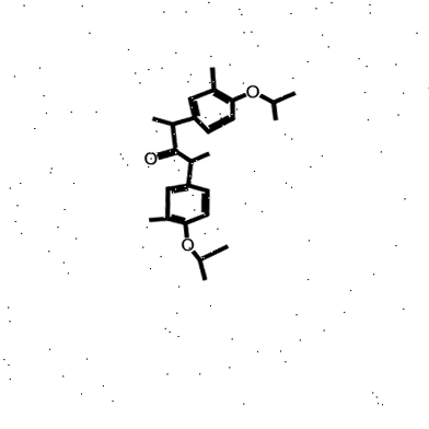 Cc1cc(C(C)C(=O)C(C)c2ccc(OC(C)C)c(C)c2)ccc1OC(C)C